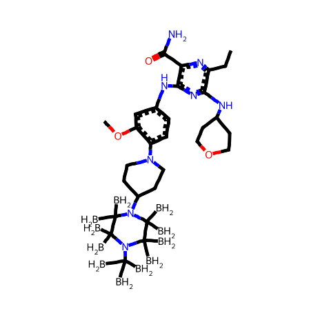 BC(B)(B)N1C(B)(B)C(B)(B)N(C2CCN(c3ccc(Nc4nc(NC5CCOCC5)c(CC)nc4C(N)=O)cc3OC)CC2)C(B)(B)C1(B)B